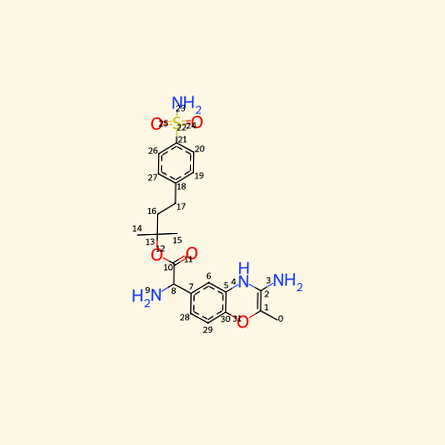 CC1=C(N)Nc2cc(C(N)C(=O)OC(C)(C)CCc3ccc(S(N)(=O)=O)cc3)ccc2O1